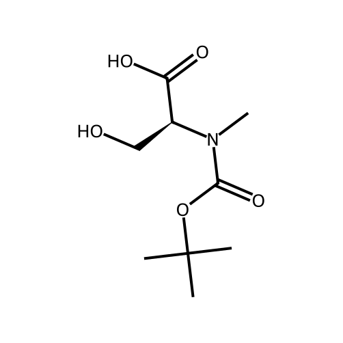 CN(C(=O)OC(C)(C)C)[C@@H](CO)C(=O)O